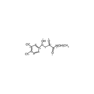 CN(O)C(=O)C(=O)CC(O)c1ccc(Cl)c(Cl)c1